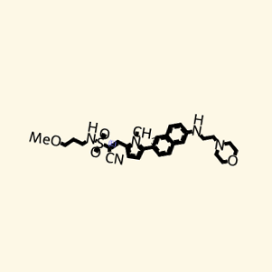 COCCCNS(=O)(=O)/C(C#N)=C/c1ccc(-c2ccc3cc(NCCN4CCOCC4)ccc3c2)n1C